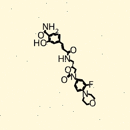 NC(=O)c1ccc(C=CC(=O)NC[C@H]2CN(c3ccc(N4CCOCC4)c(F)c3)C(=O)O2)cc1O